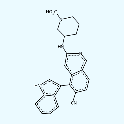 N#Cc1ccc2cnc(NC3CCCN(C(=O)O)C3)cc2c1-c1c[nH]c2ccccc12